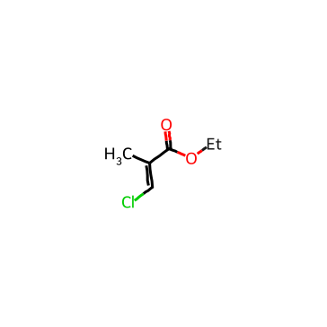 CCOC(=O)C(C)=CCl